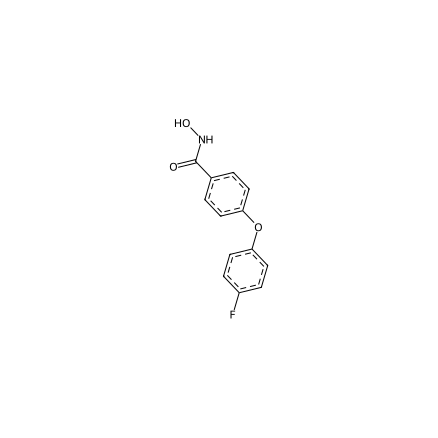 O=C(NO)c1ccc(Oc2ccc(F)cc2)cc1